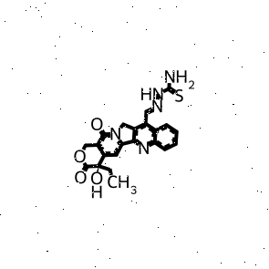 CC[C@@]1(O)C(=O)OCc2c1cc1n(c2=O)Cc2c-1nc1ccccc1c2C=NNC(N)=S